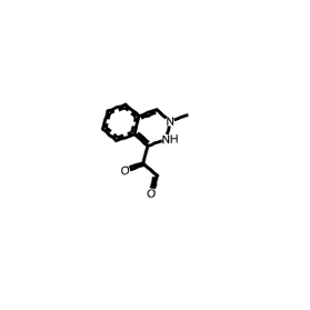 CN1C=c2ccccc2=C(C(=O)C=O)N1